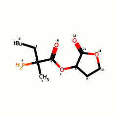 CC(C)(C)CC(C)(P)C(=O)OC1CCOC1=O